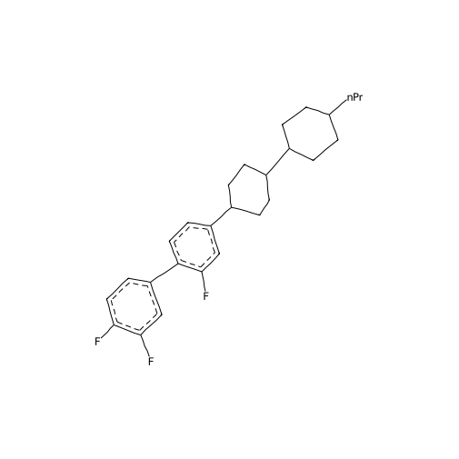 CCCC1CCC(C2CCC(c3ccc(-c4ccc(F)c(F)c4)c(F)c3)CC2)CC1